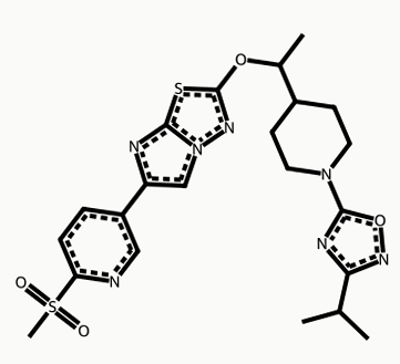 CC(C)c1noc(N2CCC(C(C)Oc3nn4cc(-c5ccc(S(C)(=O)=O)nc5)nc4s3)CC2)n1